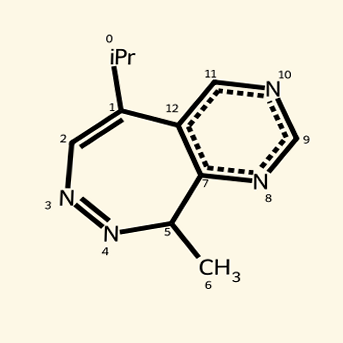 CC(C)C1=CN=NC(C)c2ncncc21